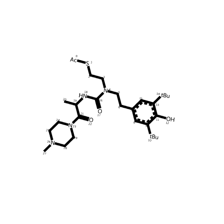 CC(=O)SCCN(CCc1cc(C(C)(C)C)c(O)c(C(C)(C)C)c1)C(=O)NC(C)C(=O)N1CCN(C)CC1